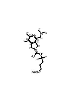 CNCCCC(C)(C)OC(=O)N1Cc2c(CN(C)C)nc(C)c(C)c2C1